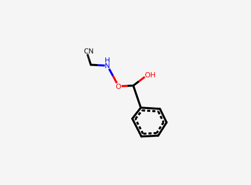 N#CCNOC(O)c1ccccc1